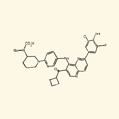 CC(C)(C)N(C(=O)O)C1CCCN(c2ccc(Nc3c(C(=O)C4CCC4)cnc4ccc(-c5cc(F)c(O)c(Cl)c5)nc34)cn2)C1